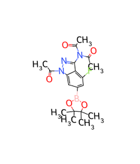 CC(=O)N(C(C)=O)c1nn(C(C)=O)c2cc(B3OC(C)(C)C(C)(C)O3)cc(F)c12